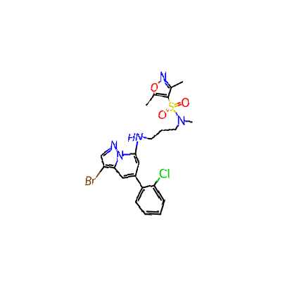 Cc1noc(C)c1S(=O)(=O)N(C)CCCNc1cc(-c2ccccc2Cl)cc2c(Br)cnn12